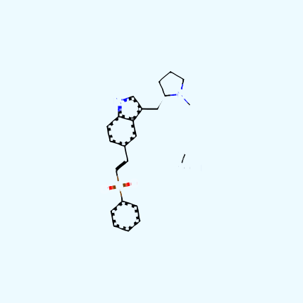 CN1CCC[C@@H]1Cc1c[nH]c2ccc(C=CS(=O)(=O)c3ccccc3)cc12.CS(=O)(=O)O